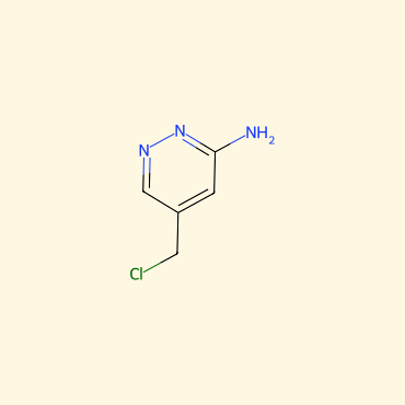 Nc1cc(CCl)cnn1